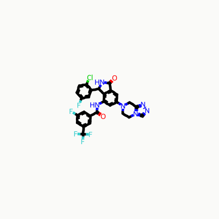 O=C(Nc1cc(N2CCn3cnnc3C2)cc2c1C(c1cc(F)ccc1Cl)NC2=O)c1cc(F)cc(C(F)(F)F)c1